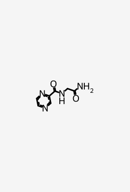 NC(=O)CNC(=O)c1cnccn1